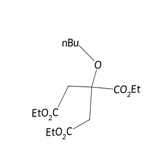 CCCCOC(CC(=O)OCC)(CC(=O)OCC)C(=O)OCC